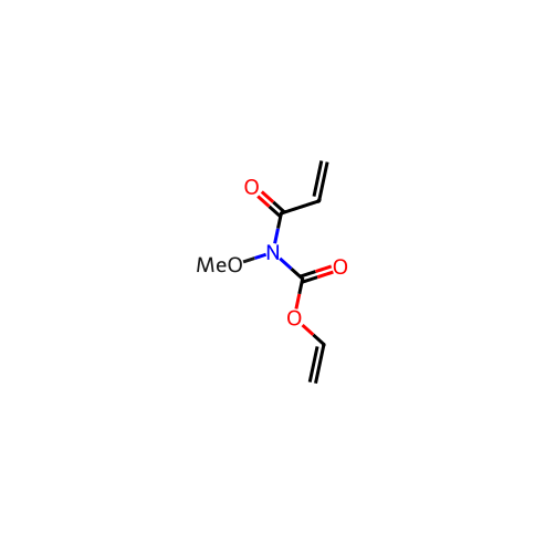 C=COC(=O)N(OC)C(=O)C=C